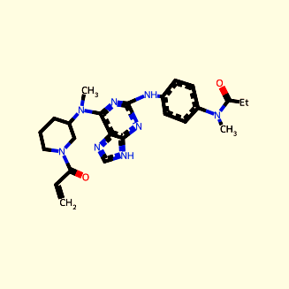 C=CC(=O)N1CCCC(N(C)c2nc(Nc3ccc(N(C)C(=O)CC)cc3)nc3[nH]cnc23)C1